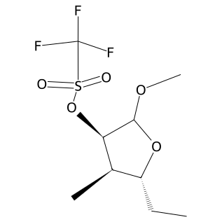 CC[C@H]1OC(OC)[C@H](OS(=O)(=O)C(F)(F)F)[C@@H]1C